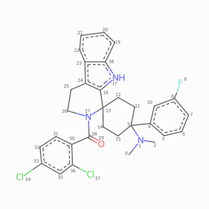 CN(C)C1(c2cccc(F)c2)CCC2(CC1)c1[nH]c3ccccc3c1CCN2C(=O)c1ccc(Cl)cc1Cl